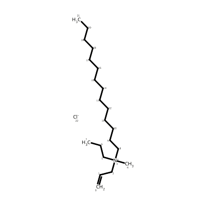 C=CC[N+](C)(CCC)CCCCCCCCCCCCCC.[Cl-]